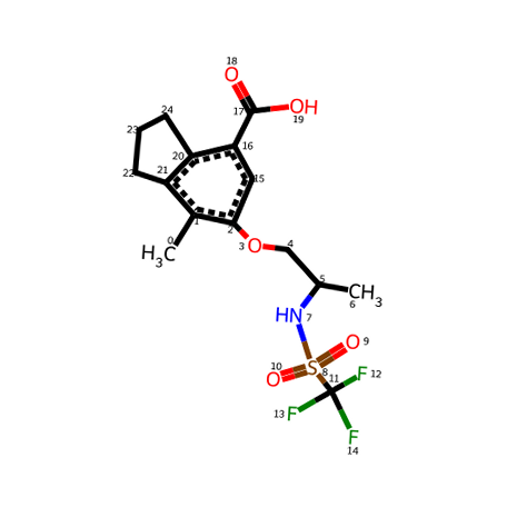 Cc1c(OCC(C)NS(=O)(=O)C(F)(F)F)cc(C(=O)O)c2c1CCC2